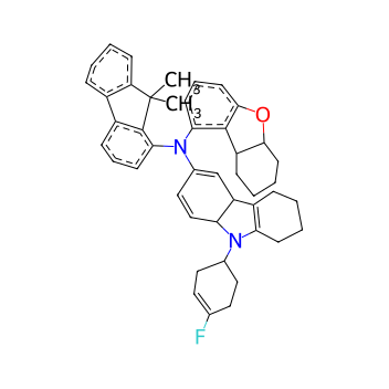 CC1(C)c2ccccc2-c2cccc(N(C3=CC4C5=C(CCCC5)N(C5CC=C(F)CC5)C4C=C3)c3cccc4c3C3CCCCC3O4)c21